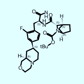 CC(C)(C)OC(=O)N1[C@@H]2CC[C@@H](C2)[C@H]1C(=O)N[C@@H](Cc1ccc([C@H]2CCN3CCOC[C@H]3C2)cc1F)C(N)=O